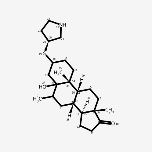 CC1C[C@@H]2[C@@H](CC[C@]3(C)C(=O)CC[C@@H]23)[C@@]2(C)CCC(S[C@H]3CCNC3)CC12O